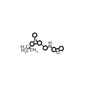 CC(C)(C)c1ccc2c(c1)c1cc(-c3cccc(Nc4ccc5oc6ccccc6c5c4)c3)ccc1n2-c1ccccc1